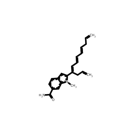 C=CCC=CC=CC=C(CC=C)c1cc2ccc(C(N)=O)cc2n1C